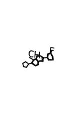 CCc1c(C2CCCC2)ccc2cc(-c3cccc(F)c3)ccc12